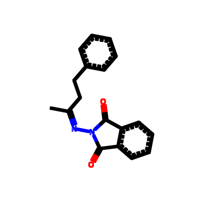 CC(CCc1ccccc1)=NN1C(=O)c2ccccc2C1=O